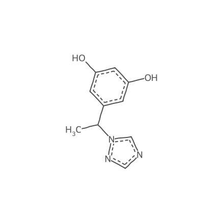 CC(c1cc(O)cc(O)c1)n1cncn1